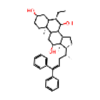 CC[C@@H]1C2C[C@H](O)CC[C@]2(C)C2C[C@H](O)[C@@]3(C)C(CC[C@@H]3[C@H](C)CC=C(c3ccccc3)c3ccccc3)C2[C@@H]1O